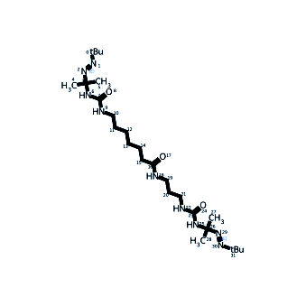 CC(C)(C)/N=N/C(C)(C)NC(=O)NCCCCCCC(=O)NCCCNC(=O)NC(C)(C)/N=N/C(C)(C)C